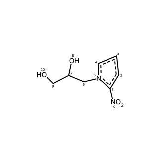 O=[N+]([O-])c1cccn1CC(O)CO